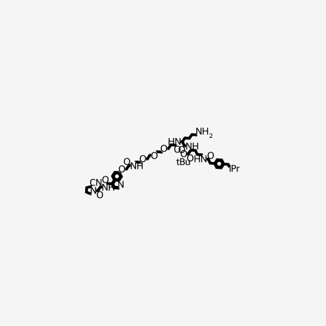 CC(C)Cc1ccc(CC(=O)NCCCC(NC(=O)C(CCCCN)NC(=O)CCOCCOCCOCCNC(=O)COc2ccc3c(C(=O)NCC(=O)N4CCC[C@@H]4C#N)ccnc3c2)C(=O)OC(C)(C)C)cc1